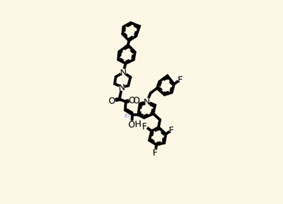 O=C(/C=C(/O)c1cc(Cc2c(F)cc(F)cc2F)cn(Cc2ccc(F)cc2)c1=O)C(=O)N1CCN(c2ccc(-c3ccccc3)cc2)CC1